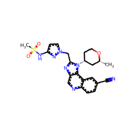 C[C@@H]1C[C@H](n2c(Cn3ccc(NS(C)(=O)=O)n3)nc3cnc4ccc(C#N)cc4c32)CCO1